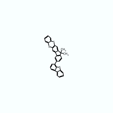 CC1(C)c2ccc(-c3cccc4c3sc3ccccc34)cc2-c2cc3c(cc21)Sc1ccccc1S3